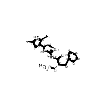 Cc1cc(-c2csc(NC(=O)[C@@H](CC(=O)O)Cc3ccccc3)n2)c(C)s1